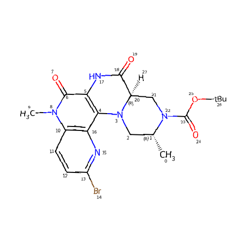 C[C@@H]1CN2c3c(c(=O)n(C)c4ccc(Br)nc34)NC(=O)[C@H]2CN1C(=O)OC(C)(C)C